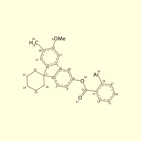 COc1ccc(C2(c3ccc(OC(=O)c4ccccc4C(C)=O)cc3)CCCCC2)cc1C